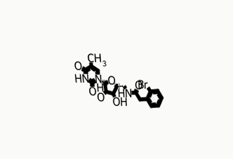 Cc1cn([C@@H]2O[C@H](CNC(=O)Cc3ccccc3Br)C(O)C2O)c(=O)[nH]c1=O